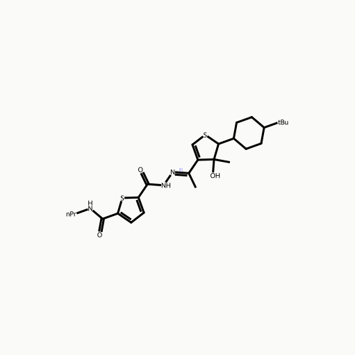 CCCNC(=O)c1ccc(C(=O)N/N=C(\C)C2=CSC(C3CCC(C(C)(C)C)CC3)C2(C)O)s1